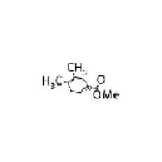 COC(=O)[C@@H]1CCC(C)=C(C)C1